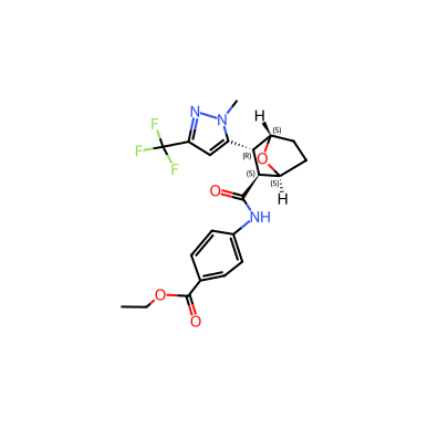 CCOC(=O)c1ccc(NC(=O)[C@H]2[C@H](c3cc(C(F)(F)F)nn3C)[C@@H]3CC[C@@H]2O3)cc1